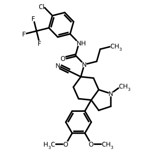 CCCN(C(=O)Nc1ccc(Cl)c(C(F)(F)F)c1)C1(C#N)CCC2(c3ccc(OC)c(OC)c3)CCN(C)C2C1